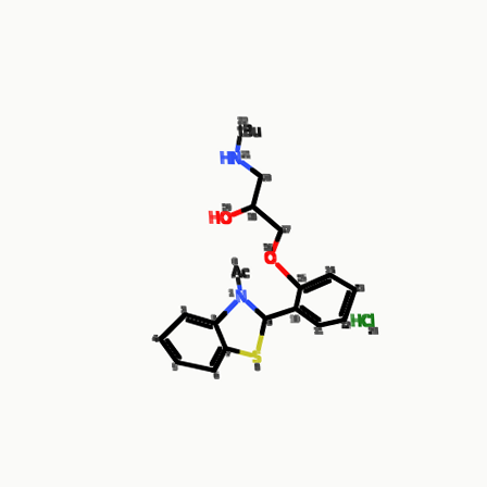 CC(=O)N1c2ccccc2SC1c1ccccc1OCC(O)CNC(C)(C)C.Cl